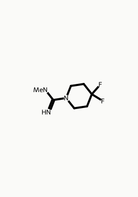 CNC(=N)N1CCC(F)(F)CC1